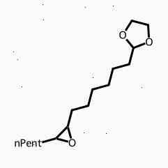 CCCCCC1OC1CCCCCCC1OCCO1